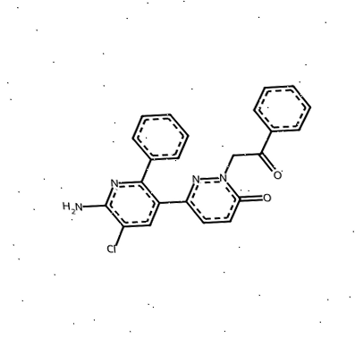 Nc1nc(-c2ccccc2)c(-c2ccc(=O)n(CC(=O)c3ccccc3)n2)cc1Cl